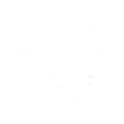 O=P(O)(O)OP(=O)(O)O.O=P([O-])([O-])[O-].O=P([O-])([O-])[O-].[Ca+2].[Ca+2].[Ca+2]